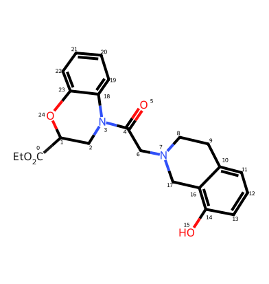 CCOC(=O)C1CN(C(=O)CN2CCc3cccc(O)c3C2)c2ccccc2O1